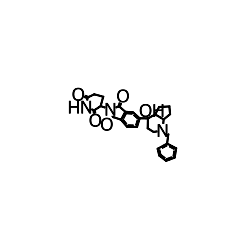 O=C1CCC(N2C(=O)c3ccc(C4(O)CCN(Cc5ccccc5)C5CCCC54)cc3C2=O)C(=O)N1